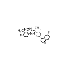 Cc1cc(N/C(=N\O)[C@H](C)[C@H]2CC[C@@H](c3ccnc4ccc(F)cc43)CC2)ccc1F